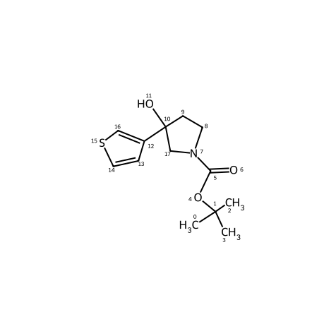 CC(C)(C)OC(=O)N1CCC(O)(c2ccsc2)C1